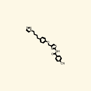 N#Cc1ccc(C(=O)Nc2nc(COc3ccc(CCCCn4ccnn4)cc3)cs2)cc1